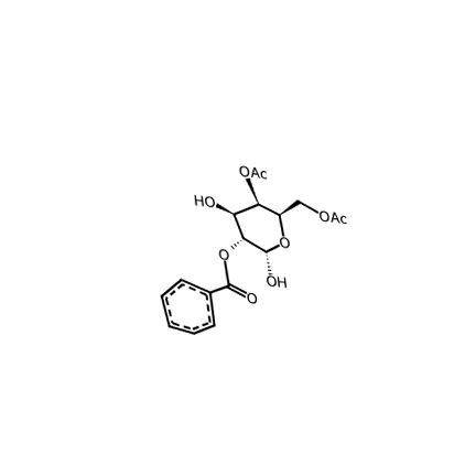 CC(=O)OC[C@H]1O[C@H](O)[C@H](OC(=O)c2ccccc2)[C@@H](O)[C@H]1OC(C)=O